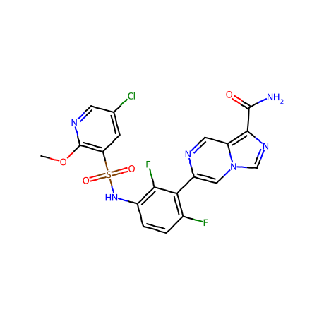 COc1ncc(Cl)cc1S(=O)(=O)Nc1ccc(F)c(-c2cn3cnc(C(N)=O)c3cn2)c1F